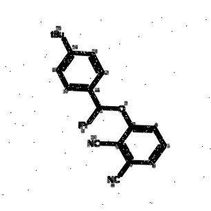 CC(C)C(Oc1cccc(C#N)c1C#N)c1ccc(C(C)(C)C)cc1